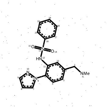 CNCc1ccc(-n2cccn2)c(NS(=O)(=O)c2ccccc2)c1